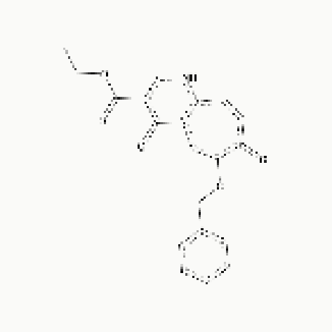 CCOC(=O)c1c[nH]c2ccc(=O)c(OCc3ccccc3)cc2c1=O